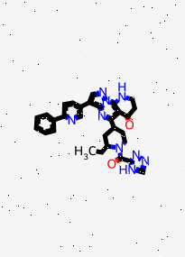 CCC1CC(c2nc3c(-c4ccc(-c5ccccc5)nc4)cnn3c3c2C(=O)CCN3)CCN1C(=O)c1nnc[nH]1